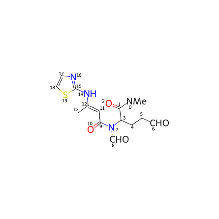 CNC(=O)C(CCC=O)N(C=O)C(=O)/C=C(\C)Nc1nccs1